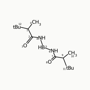 CC(C(=O)NBNC(=O)C(C)C(C)(C)C)C(C)(C)C